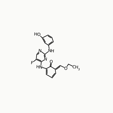 CCOC=C1C=CC=C(Nc2nc(Nc3cccc(O)c3)ncc2F)C1=O